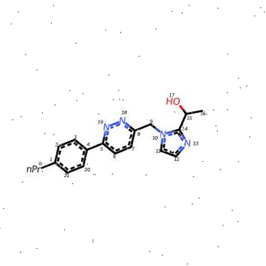 CCCc1ccc(-c2ccc(Cn3ccnc3C(C)O)nn2)cc1